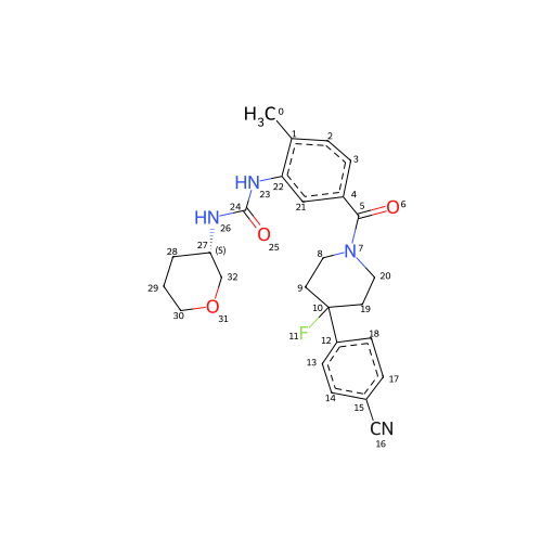 Cc1ccc(C(=O)N2CCC(F)(c3ccc(C#N)cc3)CC2)cc1NC(=O)N[C@H]1CCCOC1